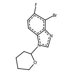 Fc1ccc2c(ncn2C2CCCCO2)c1Br